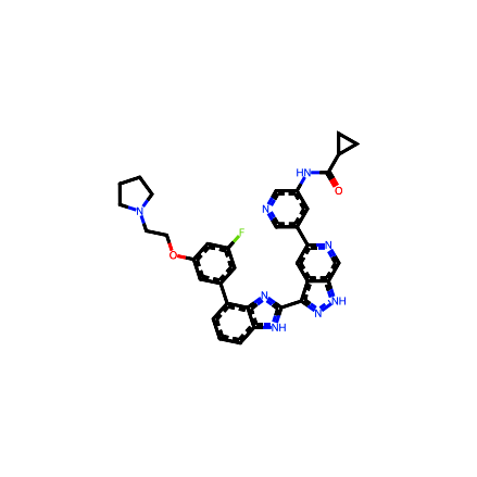 O=C(Nc1cncc(-c2cc3c(-c4nc5c(-c6cc(F)cc(OCCN7CCCC7)c6)cccc5[nH]4)n[nH]c3cn2)c1)C1CC1